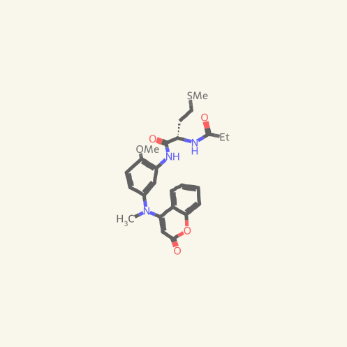 CCC(=O)N[C@@H](CCSC)C(=O)Nc1cc(N(C)c2cc(=O)oc3ccccc23)ccc1OC